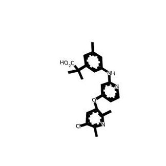 Cc1cc(Nc2cc(Oc3cc(Cl)c(C)nc3C)ccn2)cc(C(C)(C)C(=O)O)c1